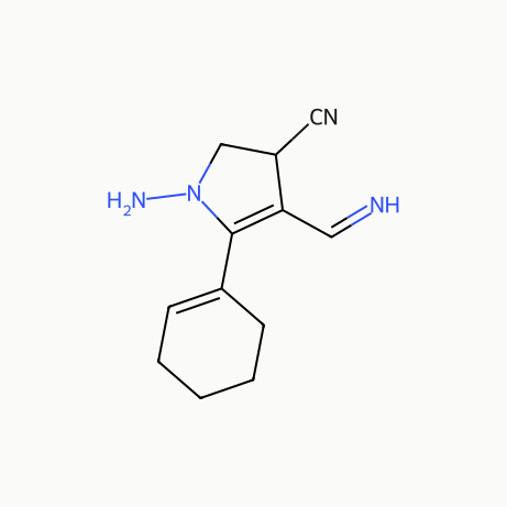 N#CC1CN(N)C(C2=CCCCC2)=C1C=N